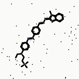 CCN(CC[N+](C)(C)C)c1ccc(/N=N/c2ccc(/C=N/N=c3\sc4ccccc4n3C)cc2)cc1